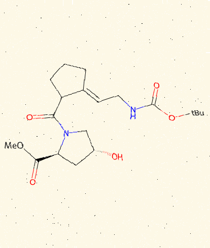 COC(=O)[C@@H]1C[C@@H](O)CN1C(=O)C1CCC/C1=C\CNC(=O)OC(C)(C)C